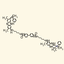 Cc1cc2c(cc1NCCCCCCNC(=O)c1ccc(-c3ccc(C(=O)NCCCCCCNc4cc5[nH]c6c/c(=[N+](/C)c7ccccc7)c(C)cc-6nc5cc4C)cc3)cc1)Nc1cc(=CN(C)c3ccccc3)c(C)cc1=N2